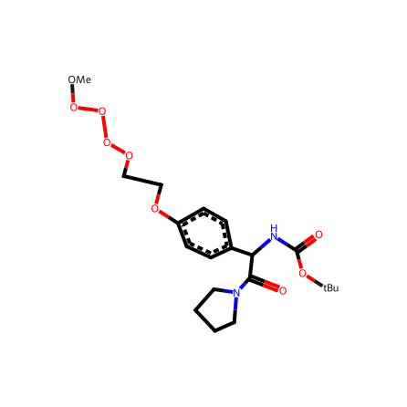 COOOOOCCOc1ccc(C(NC(=O)OC(C)(C)C)C(=O)N2CCCC2)cc1